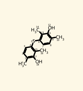 Cc1ccc(Sc2ccc(C)c(O)c2C)c(C)c1O